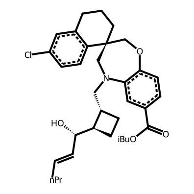 CCC/C=C/[C@H](O)[C@@H]1CC[C@H]1CN1C[C@@]2(CCCc3cc(Cl)ccc32)COc2ccc(C(=O)OCC(C)C)cc21